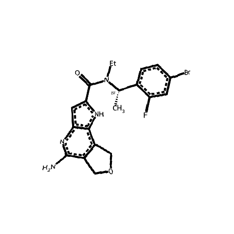 CCN(C(=O)c1cc2nc(N)c3c(c2[nH]1)COC3)[C@@H](C)c1ccc(Br)cc1F